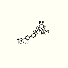 N#CC1(NC(=O)C2(NC(=O)c3cc4ccc(-c5ccc6c(c5)OCCS(O)(O)C6)cc4o3)CCC(F)(F)CC2)CC1